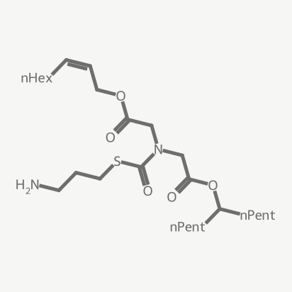 CCCCCC/C=C\COC(=O)CN(CC(=O)OC(CCCCC)CCCCC)C(=O)SCCCN